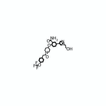 NC(=O)c1cc(-c2cnn(CCO)c2)ccc1OC1CCN(C(=O)Cc2ccc(OC(F)(F)F)cc2)CC1